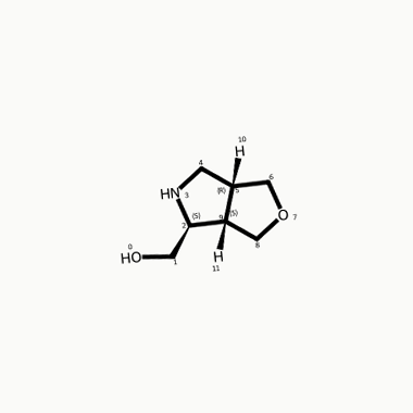 OC[C@H]1NC[C@@H]2COC[C@@H]21